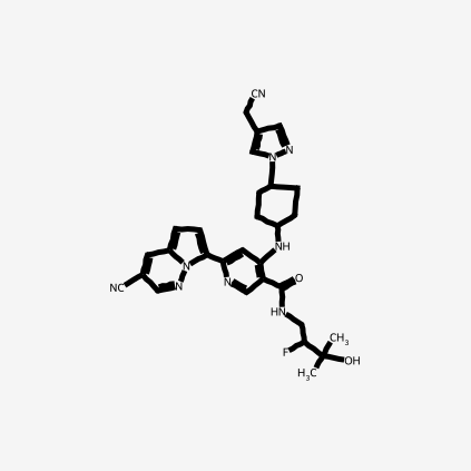 CC(C)(O)C(F)CNC(=O)c1cnc(-c2ccc3cc(C#N)cnn23)cc1NC1CCC(n2cc(CC#N)cn2)CC1